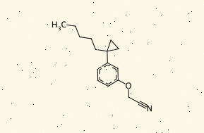 CCCCCC1(c2cccc(OCC#N)c2)CC1